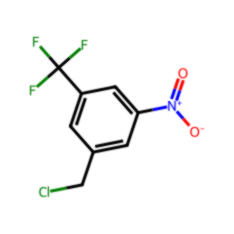 O=[N+]([O-])c1cc(CCl)cc(C(F)(F)F)c1